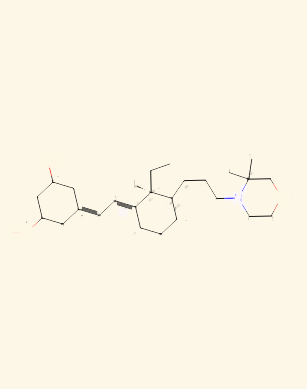 C[C@H](CN1CCOCC1(C)C)[C@H]1CC[C@H]2/C(=C/C=C3CC(O)CC(O)C3)CCC[C@]12C